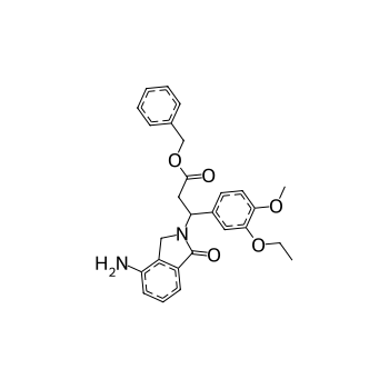 CCOc1cc(C(CC(=O)OCc2ccccc2)N2Cc3c(N)cccc3C2=O)ccc1OC